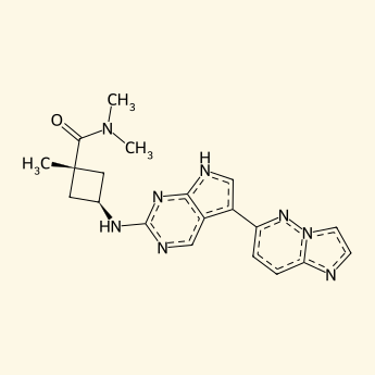 CN(C)C(=O)[C@]1(C)C[C@@H](Nc2ncc3c(-c4ccc5nccn5n4)c[nH]c3n2)C1